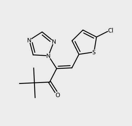 CC(C)(C)C(=O)C(=Cc1ccc(Cl)s1)n1cncn1